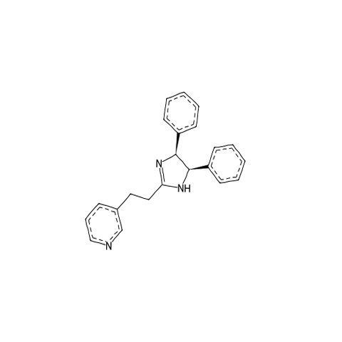 c1ccc([C@H]2NC(CCc3cccnc3)=N[C@H]2c2ccccc2)cc1